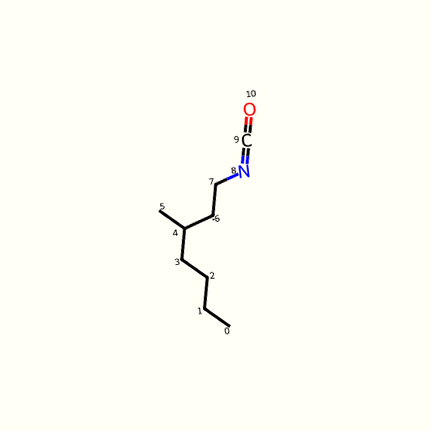 CCCCC(C)[CH]CN=C=O